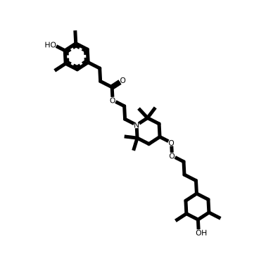 Cc1cc(CCC(=O)OCCN2C(C)(C)CC(OOCCCC3CC(C)C(O)C(C)C3)CC2(C)C)cc(C)c1O